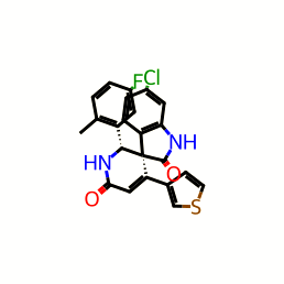 Cc1ccc(F)cc1[C@H]1NC(=O)C=C(c2ccsc2)[C@]12C(=O)Nc1cc(Cl)ccc12